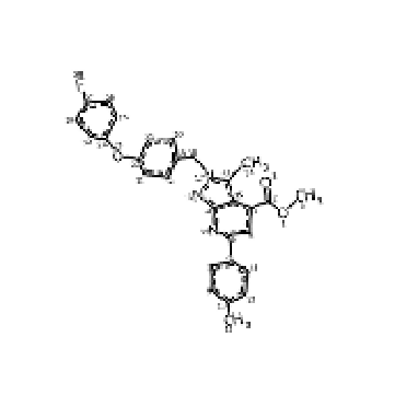 COC(=O)c1cc(-c2ccc(C)cc2)nc2nn(Cc3ccc(Oc4ccc(F)cc4)cc3)c(C)c12